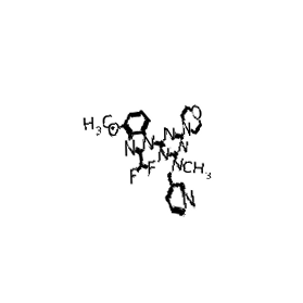 COc1cccc2c1nc(C(F)F)n2-c1nc(N(C)Cc2cccnc2)nc(N2CCOCC2)n1